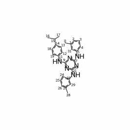 Cc1cccc(Nc2nc(Nc3ccc(C(C)C)cc3)nc(Nc3cccc(C)c3)n2)c1